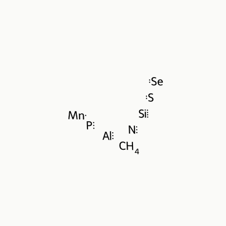 C.[Al].[Mn].[N].[P].[S].[Se].[Si]